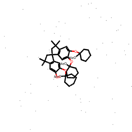 COC1(Oc2cc3c(cc2O)C(C)(C)CC32CC(C)(C)c3cc(OC4(OC)CCCCC4)c(OC4(OC)CCCCC4)cc32)CCCCC1